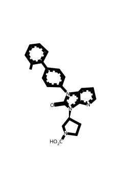 Cc1ccccc1-c1ccc(-n2c(=O)n([C@H]3CCN(C(=O)O)C3)c3ncccc32)cc1